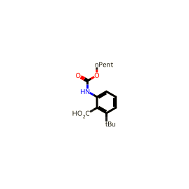 CCCCCOC(=O)Nc1cccc(C(C)(C)C)c1C(=O)O